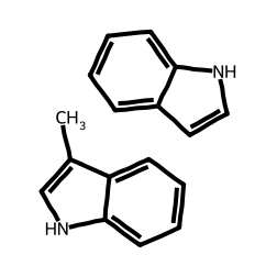 Cc1c[nH]c2ccccc12.c1ccc2[nH]ccc2c1